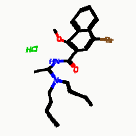 CCCCN(CCCC)C(C)NC(=O)c1cc(Br)c2ccccc2c1OC.Cl